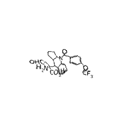 NC(CC=O)(C(=O)O)C1c2ccccc2N(C(=O)c2ccc(OC(F)(F)F)cc2)C2CCCC21